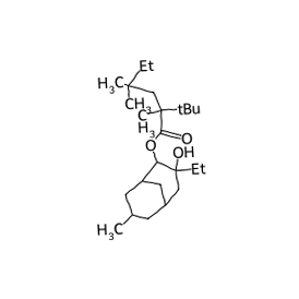 CCC(C)(C)CC(C)(C(=O)OC1C2CC(C)CC(C2)CC1(O)CC)C(C)(C)C